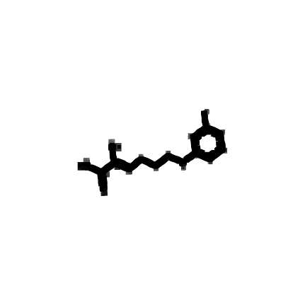 Cc1cccc(OCCCC=C(O)C(=O)O)c1